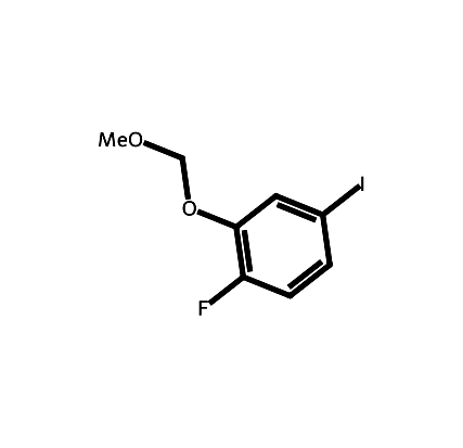 COCOc1cc(I)ccc1F